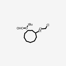 CC(C)(C)OC=O.CCC1CCCCCCCC1.ClCCl